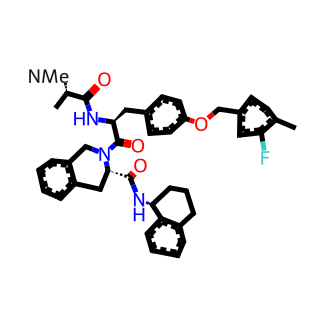 CN[C@@H](C)C(=O)N[C@@H](Cc1ccc(OCc2ccc(C)c(F)c2)cc1)C(=O)N1Cc2ccccc2C[C@H]1C(=O)N[C@@H]1CCCc2ccccc21